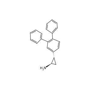 N[C@@H]1C[C@H]1c1ccc(-c2ccccc2)c(-c2ccccc2)c1